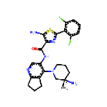 C[C@]1(N)CCCN(c2c(NC(=O)c3nc(-c4c(F)cccc4F)sc3N)cnc3c2CCC3)C1